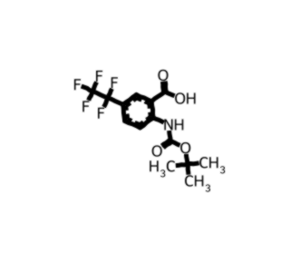 CC(C)(C)OC(=O)Nc1ccc(C(F)(F)C(F)(F)F)cc1C(=O)O